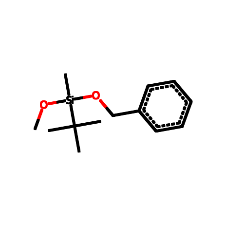 CO[Si](C)(OCc1ccccc1)C(C)(C)C